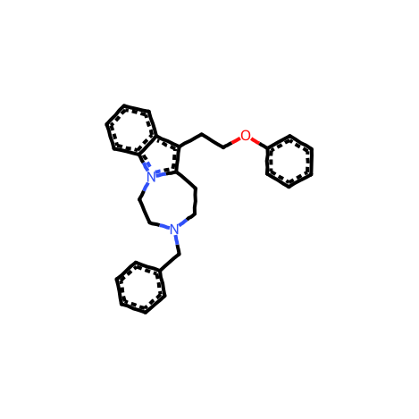 c1ccc(CN2CCc3c(CCOc4ccccc4)c4ccccc4n3CC2)cc1